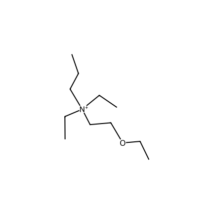 CCC[N+](CC)(CC)CCOCC